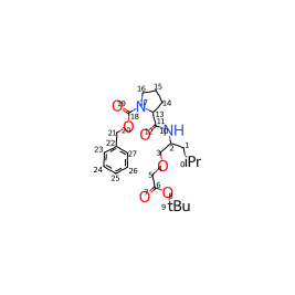 CC(C)CC(COCC(=O)OC(C)(C)C)NC(=O)C1CCCN1C(=O)OCc1ccccc1